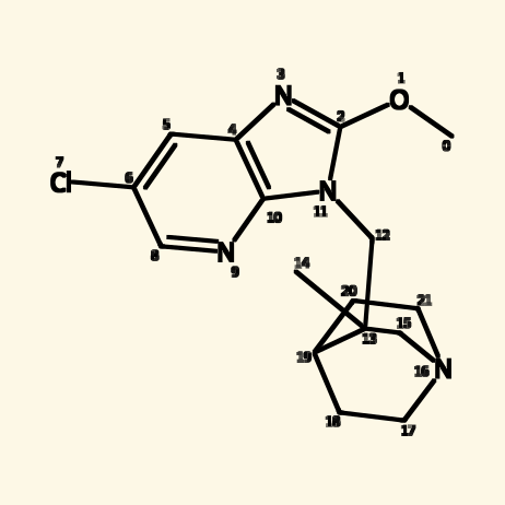 COc1nc2cc(Cl)cnc2n1CC1(C)CN2CCC1CC2